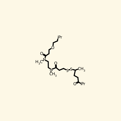 CC(C)CCOCCC(=O)N(C)CCN(C)C(=O)CCSSC(C)CCC(=O)C(C)C